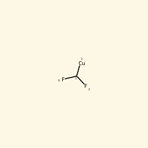 F[CH](F)[Cu]